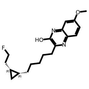 COc1ccc2nc(CCCCC[C@@H]3C[C@@H]3CCF)c(O)nc2c1